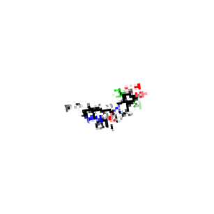 CN(C)c1ncc(C(F)(F)F)cc1CCCC(=O)N1CCc2c(Cl)c(O)c(O)c(Cl)c2C1